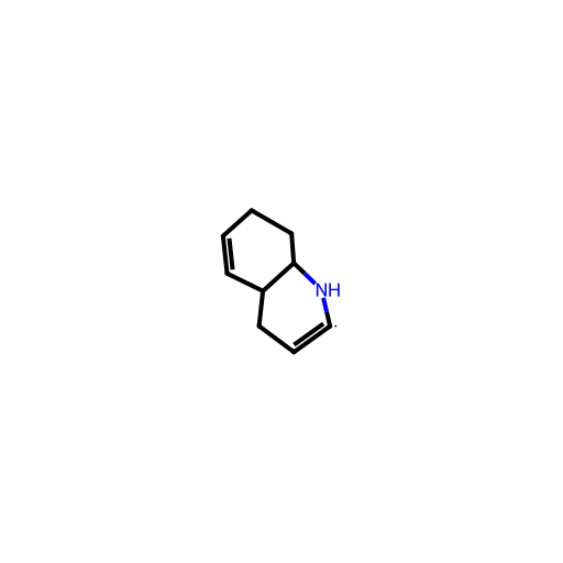 [C]1=CCC2C=CCCC2N1